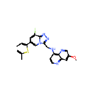 C=C(C)S/C(=C\C)c1cc(F)c2nnc(CNc3ccnc4cc(OC)cnc34)n2c1